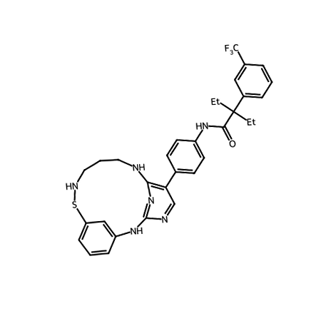 CCC(CC)(C(=O)Nc1ccc(-c2cnc3nc2NCCCNSc2cccc(c2)N3)cc1)c1cccc(C(F)(F)F)c1